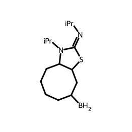 BC1CCCCC2C(C1)S/C(=N/C(C)C)N2C(C)C